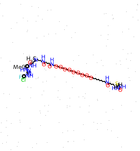 COc1ccc(NC(=O)/C=C/CN(C)CCCCNC(=O)CCCC(=O)NCCOCCOCCOCCOCCOCCOCCOCCOCCOCCCCCCCCCCNC(=O)CCCC[C@@H]2SC[C@@H]3NC(=O)N[C@@H]32)cc1Nc1cc(Nc2ccc(F)c(Cl)c2)ncn1